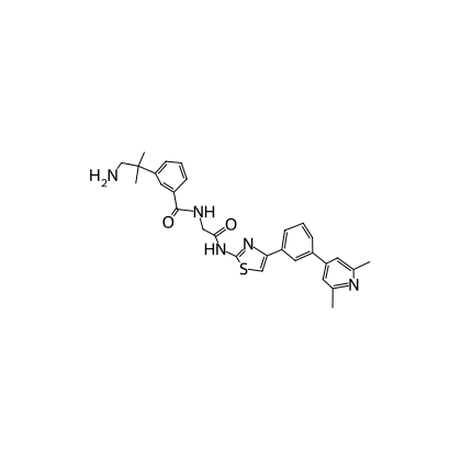 Cc1cc(-c2cccc(-c3csc(NC(=O)CNC(=O)c4cccc(C(C)(C)CN)c4)n3)c2)cc(C)n1